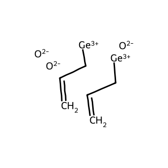 C=C[CH2][Ge+3].C=C[CH2][Ge+3].[O-2].[O-2].[O-2]